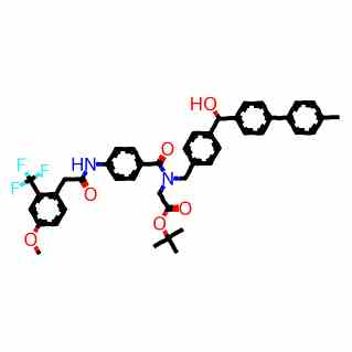 COc1ccc(CC(=O)Nc2ccc(C(=O)N(CC(=O)OC(C)(C)C)Cc3ccc(C(O)c4ccc(-c5ccc(C)cc5)cc4)cc3)cc2)c(C(F)(F)F)c1